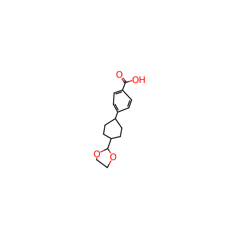 O=C(O)c1ccc(C2CCC(C3OCCO3)CC2)cc1